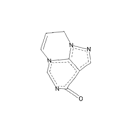 O=c1ncn2c3c1cnn3CC=C2